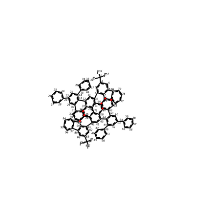 FC(F)(F)c1cc2c3c(c1)-c1cc(-c4c(-c5ccccc5)cc(-c5ccccc5)cc4-c4ccccc4)c4cc5c6c(cc(-c7c(-c8ccccc8)cc(-c8ccccc8)cc7-c7ccccc7)c7cc(c1c4c76)B3c1ccccc1-2)-c1cc(C(F)(F)F)cc2c1B5c1ccccc1-2